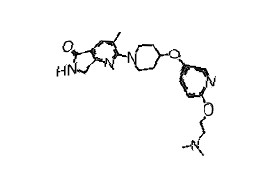 Cc1cc2c(nc1N1CCC(Oc3ccc(OCCN(C)C)nc3)CC1)CNC2=O